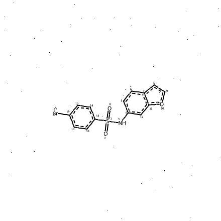 O=S(=O)(Nc1ccc2ccoc2c1)c1ccc(Br)cc1